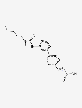 CCCCCNC(=O)Nc1cccc(-c2ccc(/C=C/C(=O)O)cc2)c1